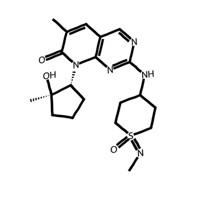 CN=S1(=O)CCC(Nc2ncc3cc(C)c(=O)n([C@@H]4CCC[C@@]4(C)O)c3n2)CC1